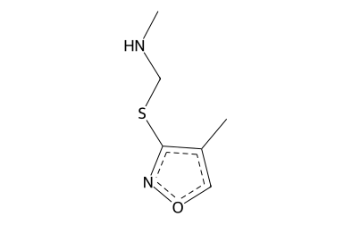 CNCSc1nocc1C